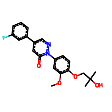 COc1cc(-n2ncc(-c3cccc(F)c3)cc2=O)ccc1OCC(C)(C)O